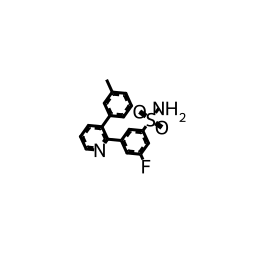 Cc1cccc(-c2cccnc2-c2cc(F)cc(S(N)(=O)=O)c2)c1